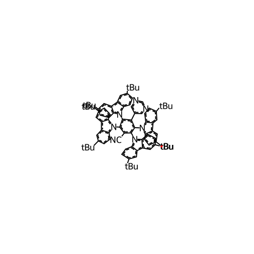 CC(C)(C)c1ccc2c(c1)c1cc(C(C)(C)C)ccc1n2-c1c(C#N)c(-n2c3ccc(C(C)(C)C)cc3c3cc(C(C)(C)C)ccc32)c(-n2c3ccc(C(C)(C)C)cc3c3cc(C(C)(C)C)ccc32)c(-c2cncnc2)c1-n1c2ccc(C(C)(C)C)cc2c2cc(C(C)(C)C)ccc21